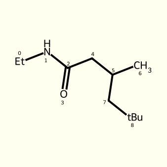 CCNC(=O)CC(C)CC(C)(C)C